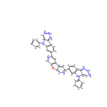 c1ccc(-n2c3cc(-c4cc5c(cn4)oc4cnc(-c6ccc7c8nnncc8n(-c8ccccc8)c7c6)cc45)ccc3c3nnncc32)cc1